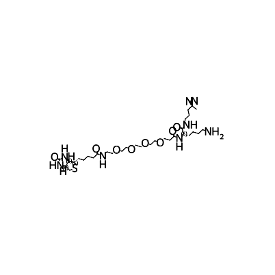 CC1(CCCNC(=O)[C@H](CCCCN)NC(=O)CCOCCOCCOCCOCCNC(=O)CCCC[C@@H]2SC[C@@H]3NC(=O)N[C@@H]32)N=N1